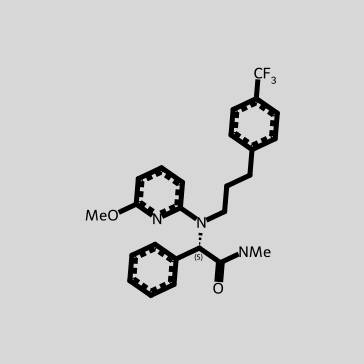 CNC(=O)[C@H](c1ccccc1)N(CCCc1ccc(C(F)(F)F)cc1)c1cccc(OC)n1